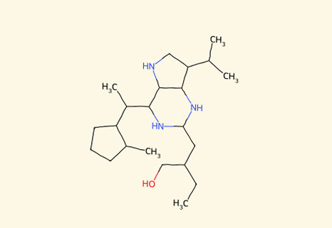 CCC(CO)CC1NC(C(C)C2CCCC2C)C2NCC(C(C)C)C2N1